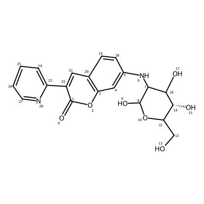 O=c1oc2cc(NC3C(O)OC(CO)[C@@H](O)C3O)ccc2cc1-c1ccccn1